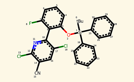 CC(C)(C)[Si](Oc1cccc(F)c1-c1nc(Cl)c(C#N)cc1Cl)(c1ccccc1)c1ccccc1